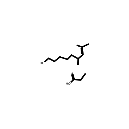 CC(C)=CC(C)CCCCCO.CCC(=O)O